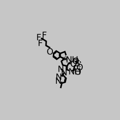 Cc1ccc(-n2nc3c(c2NC(=O)CS(C)(=O)=O)C(=O)N[C@@]2(CCc4cc(OCCCC(F)(F)F)ccc42)C3)nn1